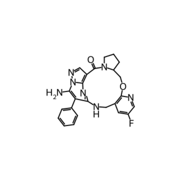 Nc1c(-c2ccccc2)c2nc3c(cnn13)C(=O)N1CCCC1COc1ncc(F)cc1CN2